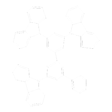 C1=Cc2c(c3ccccc3n2-c2nc(-c3ccccc3)cc(-c3cc(-n4c5ccccc5c5ccccc54)cc(-n4c5ccccc5c5ccccc54)c3)n2)CC1